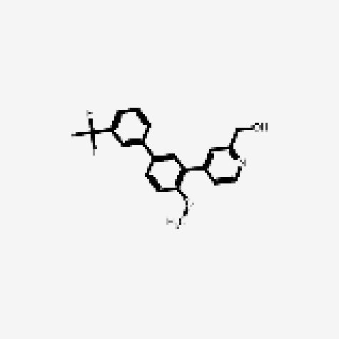 COc1ccc(-c2cccc(C(F)(F)F)c2)cc1-c1ccnc(CO)c1